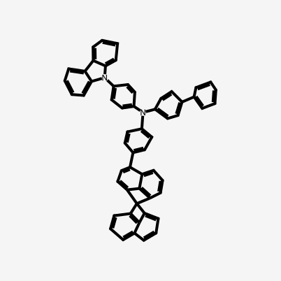 c1ccc(-c2ccc(N(c3ccc(-c4ccc5c6c(cccc46)C54c5cccc6cccc4c56)cc3)c3ccc(-n4c5ccccc5c5ccccc54)cc3)cc2)cc1